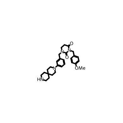 COc1ccc(CN2C(=O)CCN(Cc3cccc(N4CCC5(CCNCC5)CC4)c3)C2=O)cc1